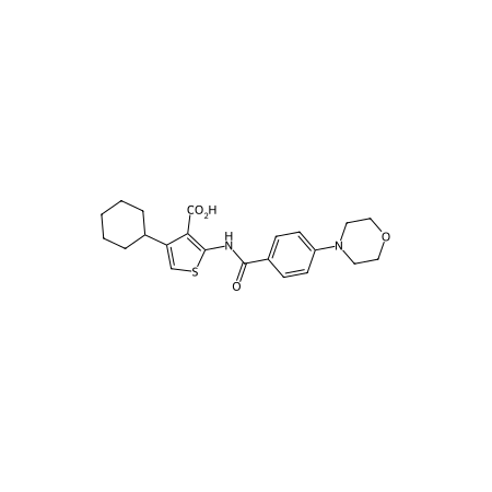 O=C(Nc1scc(C2CCCCC2)c1C(=O)O)c1ccc(N2CCOCC2)cc1